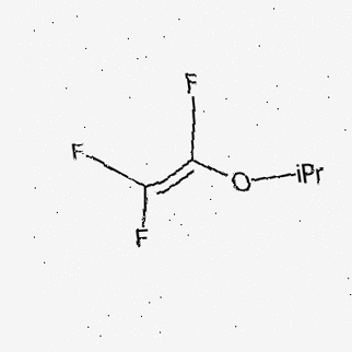 CC(C)OC(F)=C(F)F